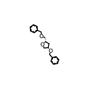 c1ccc(COC[C@@H]2C[C@@H](OCc3ccccc3)CO2)cc1